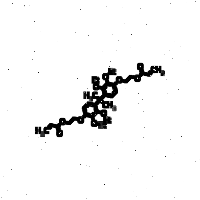 C=CC(=O)OCCOc1ccc(C(C)(C)c2ccc(OCCOC(=O)C=C)c(OCC)c2OCC)c(OCC)c1OCC